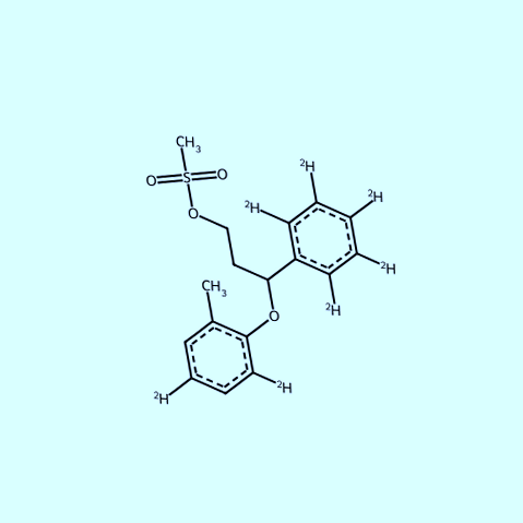 [2H]c1cc([2H])c(OC(CCOS(C)(=O)=O)c2c([2H])c([2H])c([2H])c([2H])c2[2H])c(C)c1